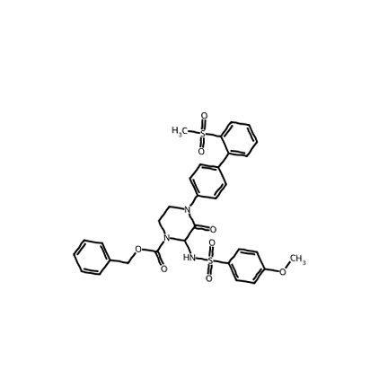 COc1ccc(S(=O)(=O)NC2C(=O)N(c3ccc(-c4ccccc4S(C)(=O)=O)cc3)CCN2C(=O)OCc2ccccc2)cc1